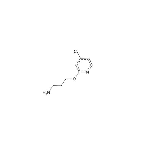 NCCCOc1cc(Cl)ccn1